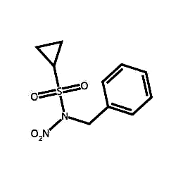 O=[N+]([O-])N(Cc1ccccc1)S(=O)(=O)C1CC1